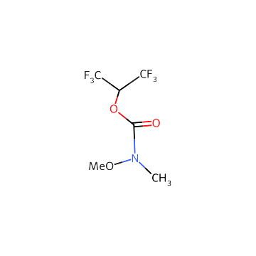 CON(C)C(=O)OC(C(F)(F)F)C(F)(F)F